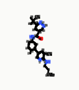 COCCNc1ncc(-c2cc(NC(=O)c3cnnc(C(C)(C)C#N)c3)ccc2C)cc1C#N